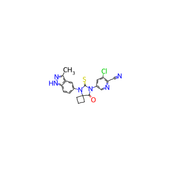 Cc1n[nH]c2ccc(N3C(=S)N(c4cnc(C#N)c(Cl)c4)C(=O)C34CCC4)cc12